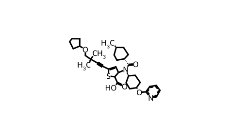 CC(C)(C#CC1=CC(N(C(=O)[C@H]2CC[C@H](C)CC2)[C@H]2CC[C@H](Oc3ccccn3)CC2)C(C(=O)O)S1)COC1CCCC1